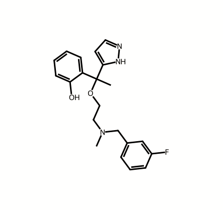 CN(CCOC(C)(c1ccn[nH]1)c1ccccc1O)Cc1cccc(F)c1